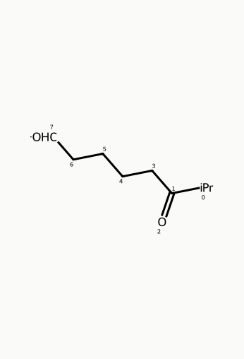 CC(C)C(=O)CCCC[C]=O